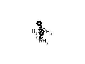 C[C@@H]1CC(C(=O)ON)C[N+]1(C)C(=O)OCc1ccccc1